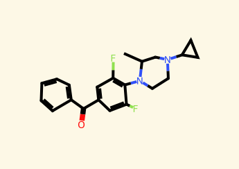 CC1CN(C2CC2)CCN1c1c(F)cc(C(=O)c2ccccc2)cc1F